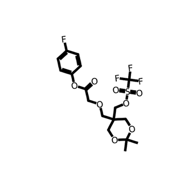 CC1(C)OCC(COCC(=O)Oc2ccc(F)cc2)(COS(=O)(=O)C(F)(F)F)CO1